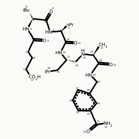 CCC[C@H](NC(=O)[C@@H](NC(=O)CCCC(=O)O)[C@@H](C)CC)C(=O)N[C@H](CN[C@@H](C)C(=O)NCc1cccc(C(N)=O)c1)CC(C)C